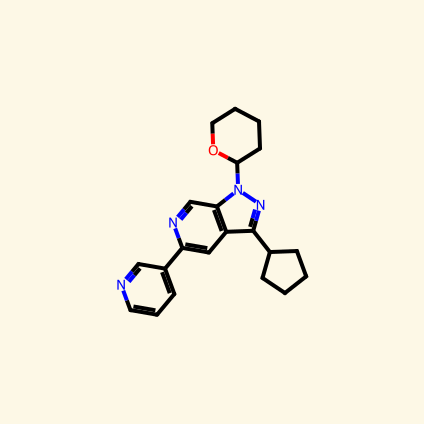 c1cncc(-c2cc3c(C4CCCC4)nn(C4CCCCO4)c3cn2)c1